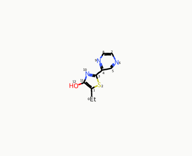 CCc1sc(-c2cnccn2)nc1O